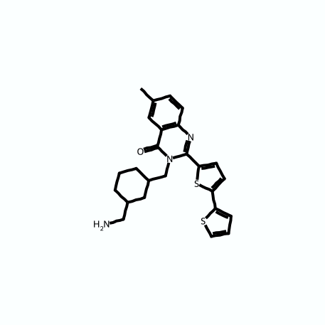 Cc1ccc2nc(-c3ccc(-c4cccs4)s3)n(CC3CCCC(CN)C3)c(=O)c2c1